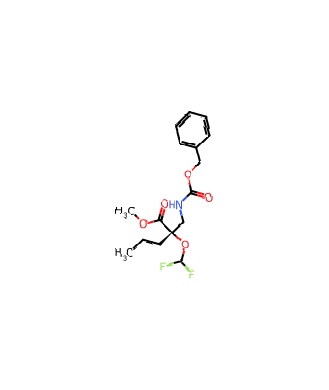 CCC[C@@](CNC(=O)OCc1ccccc1)(OC(F)F)C(=O)OC